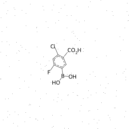 O=C(O)c1cc(B(O)O)c(F)cc1Cl